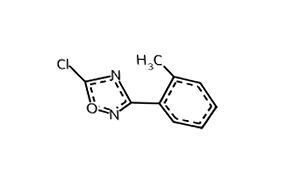 Cc1ccccc1-c1noc(Cl)n1